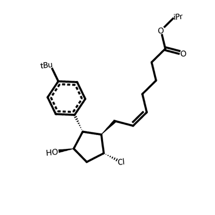 CC(C)OC(=O)CCC/C=C\C[C@@H]1[C@@H](c2ccc(C(C)(C)C)cc2)[C@H](O)C[C@H]1Cl